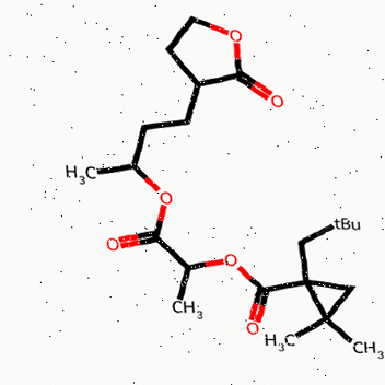 CC(CCC1CCOC1=O)OC(=O)C(C)OC(=O)C1(CC(C)(C)C)CC1(C)C